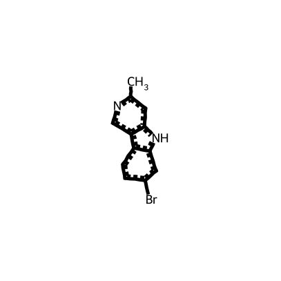 Cc1cc2[nH]c3cc(Br)ccc3c2cn1